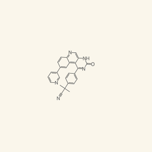 CC(C)(C#N)c1ccc(-c2nc(=O)[nH]c3cnc4ccc(-c5cccnc5)cc4c23)cc1